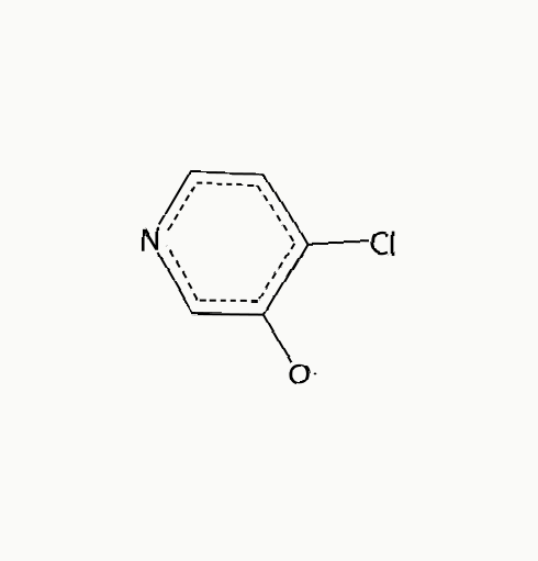 [O]c1cnccc1Cl